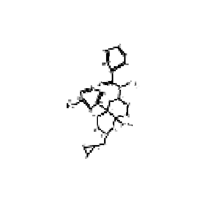 CC(=O)OC12CCC(N(C)C(=O)c3ccccc3)CC1(c1cccc(O)c1)CCN(CC1CC1)C2